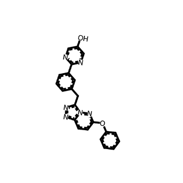 Oc1cnc(-c2cccc(Cc3nnc4ccc(Oc5ccccc5)nn34)c2)nc1